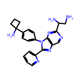 NCC(N)c1ncc2nc(-c3ccccn3)n(-c3ccc(C4(N)CCC4)cc3)c2n1